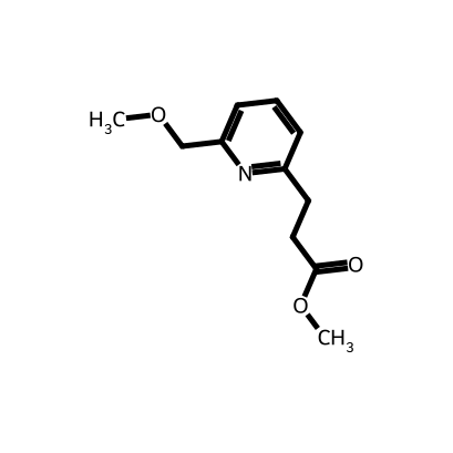 COCc1cccc(CCC(=O)OC)n1